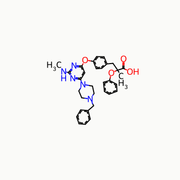 CNc1nc(Oc2ccc(CC(C)(Oc3ccccc3)C(=O)O)cc2)cc(N2CCN(Cc3ccccc3)CC2)n1